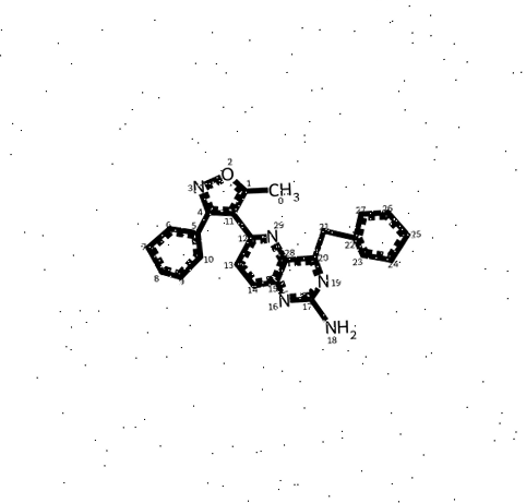 Cc1onc(-c2ccccc2)c1-c1ccc2nc(N)nc(Cc3ccccc3)c2n1